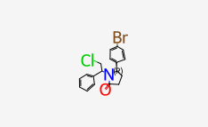 O=C1CC[C@H](c2ccc(Br)cc2)N1C(CCl)c1ccccc1